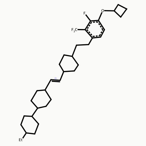 CCC1CCC(C2CCC(/C=C/C3CCC(CCc4ccc(OC5CCC5)c(F)c4C(F)(F)F)CC3)CC2)CC1